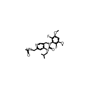 COc1cc(OC)c(F)c(N2Cc3cnc(CNC(C)=O)cc3N(CC(C)C)C2=O)c1F